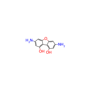 Nc1cc(O)c2c(c1)oc1cc(N)cc(O)c12